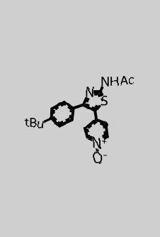 CC(=O)Nc1nc(-c2ccc(C(C)(C)C)cc2)c(-c2cc[n+]([O-])cc2)s1